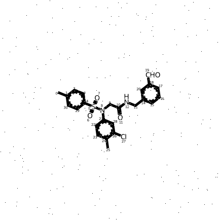 Cc1ccc(S(=O)(=O)N(CC(=O)NCc2cccc(C=O)c2)c2ccc(C)c(Cl)c2)cc1